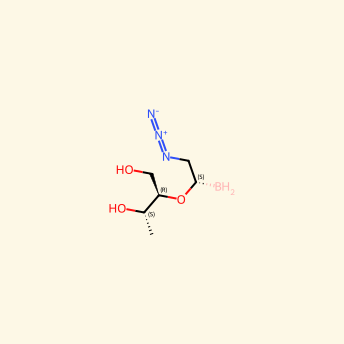 B[C@@H](CN=[N+]=[N-])O[C@H](CO)[C@H](C)O